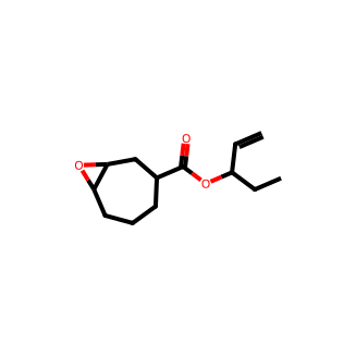 C=CC(CC)OC(=O)C1CCCC2OC2C1